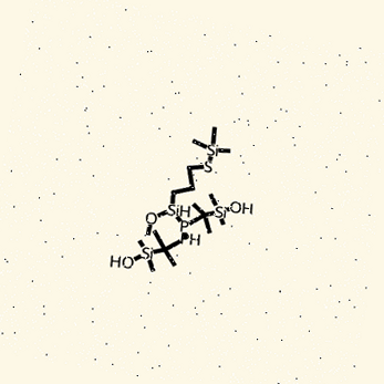 CO[SiH](CCCS[Si](C)(C)C)P(PC(C)(C)[Si](C)(C)O)C(C)(C)[Si](C)(C)O